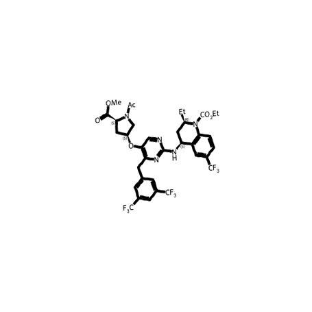 CCOC(=O)N1c2ccc(C(F)(F)F)cc2[C@@H](Nc2ncc(O[C@H]3C[C@@H](C(=O)OC)N(C(C)=O)C3)c(Cc3cc(C(F)(F)F)cc(C(F)(F)F)c3)n2)C[C@H]1CC